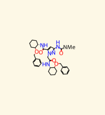 CNC(=O)Nc1cc(C(=O)N[C@H]2CCCC[C@@H]2OCc2ccccc2)n(CC(=O)N[C@H]2CCCC[C@@H]2OCc2ccccc2)n1